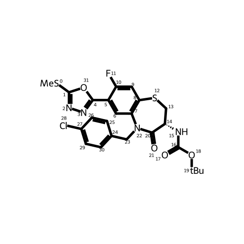 CSc1nnc(-c2cc3c(cc2F)SC[C@H](NC(=O)OC(C)(C)C)C(=O)N3Cc2ccc(Cl)cc2)o1